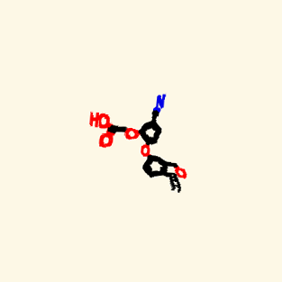 N#Cc1ccc(Oc2ccc3c(c2)COB3)c(OCC(=O)O)c1